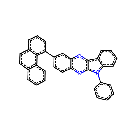 c1ccc(-n2c3ccccc3c3nc4cc(-c5cccc6ccc7ccccc7c56)ccc4nc32)cc1